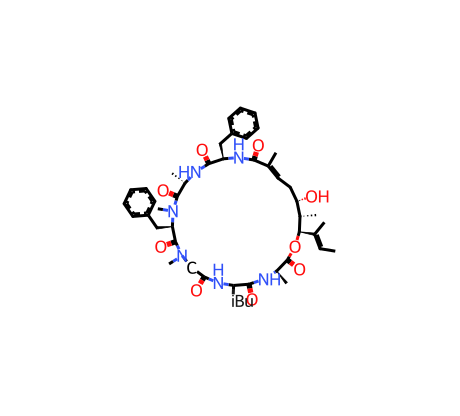 C/C=C(\C)[C@H]1OC(=O)[C@@H](C)NC(=O)C(C(C)CC)NC(=O)CN(C)C(=O)[C@@H](Cc2ccccc2)N(C)C(=O)[C@H](C)NC(=O)[C@@H](Cc2ccccc2)NC(=O)/C(C)=C/C[C@H](O)[C@@H]1C